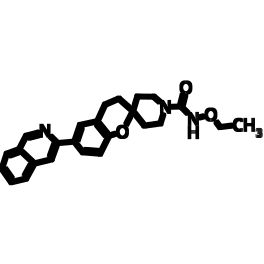 CCONC(=O)N1CCC2(CCc3cc(-c4cc5ccccc5cn4)ccc3O2)CC1